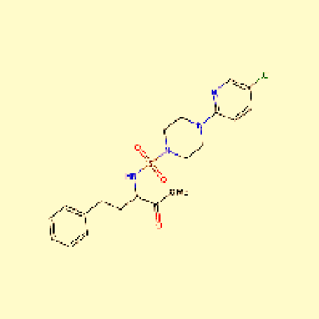 COC(=O)C(CCc1ccccc1)NS(=O)(=O)N1CCN(c2ccc(Cl)cn2)CC1